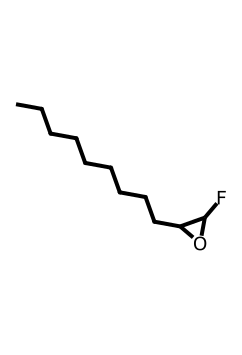 CCCCCCCCCC1OC1F